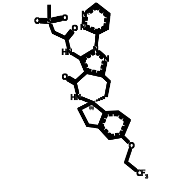 CS(=O)(=O)CC(=O)Nc1c2c(nn1-c1cccnn1)CC[C@]1(CCc3cc(OCC(F)(F)F)ccc31)NC2=O